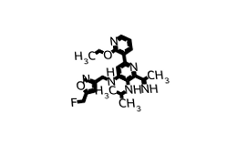 CCOc1ncccc1-c1cc(NCc2cc(CF)on2)c(NC(C)C)c(C(C)=N)n1